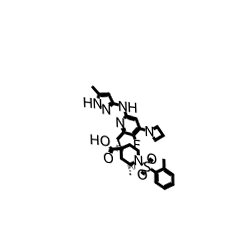 Cc1cc(Nc2cc(N3CCC3)c(F)c(C[C@@]3(C(=O)O)CCN(S(=O)(=O)c4ccccc4C)[C@H](C)C3)n2)n[nH]1